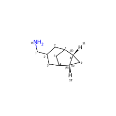 NCC1CC2CC(C1)[C@@H]1C[C@H]21